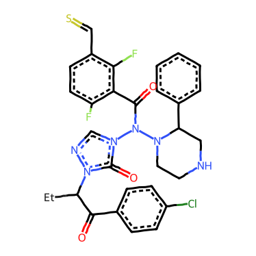 CCC(C(=O)c1ccc(Cl)cc1)n1ncn(N(C(=O)c2c(F)ccc(C=S)c2F)N2CCNCC2c2ccccc2)c1=O